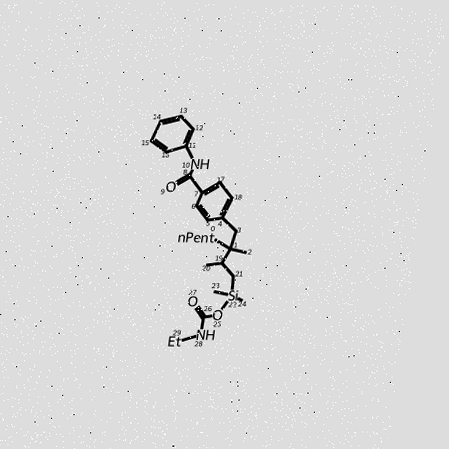 CCCCCC(C)(Cc1ccc(C(=O)Nc2ccccc2)cc1)C(C)C[Si](C)(C)OC(=O)NCC